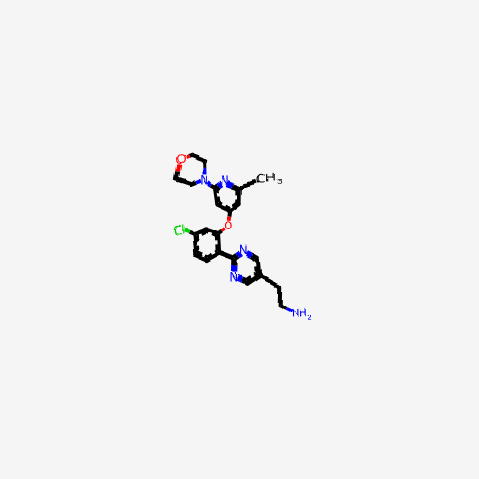 Cc1cc(Oc2cc(Cl)ccc2-c2ncc(CCN)cn2)cc(N2CCOCC2)n1